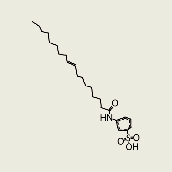 CCCCCCCCC=CCCCCCCCC(=O)Nc1cccc(S(=O)(=O)O)c1